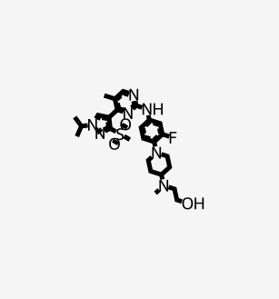 Cc1cnc(Nc2ccc(N3CCC(N(C)CCO)CC3)c(F)c2)nc1-c1cn(C(C)C)nc1S(C)(=O)=O